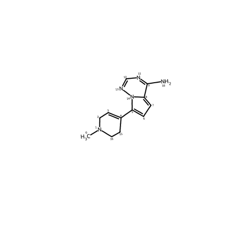 CN1CC=C(c2ccc3c(N)ncnn23)CC1